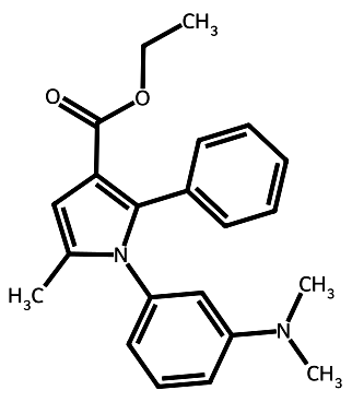 CCOC(=O)c1cc(C)n(-c2cccc(N(C)C)c2)c1-c1ccccc1